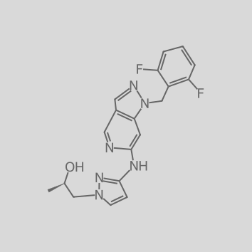 C[C@@H](O)Cn1ccc(Nc2cc3c(cn2)cnn3Cc2c(F)cccc2F)n1